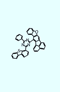 c1ccc(-c2nc(-c3cccc4c3sc3ccccc34)nc(-c3c4c(cc5oc6ccccc6c35)-c3cccc5cccc-4c35)n2)cc1